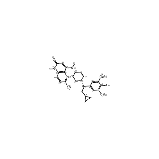 COc1cc(N(CC2CC2)[C@H]2CC[C@@H](N(C)c3cc(=O)n(C)c4ccc(C#N)nc34)CC2)cc(OC)c1F